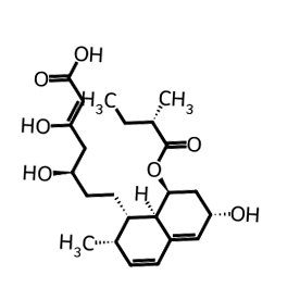 CC[C@H](C)C(=O)O[C@H]1C[C@H](O)C=C2C=C[C@H](C)[C@H](CC[C@@H](O)CC(O)=CC(=O)O)[C@H]21